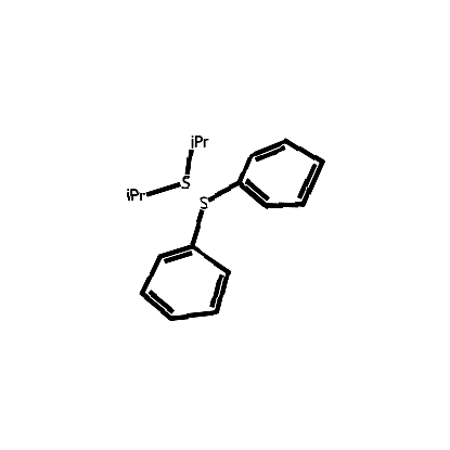 CC(C)SC(C)C.c1ccc(Sc2ccccc2)cc1